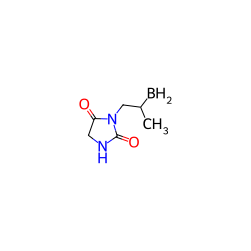 BC(C)CN1C(=O)CNC1=O